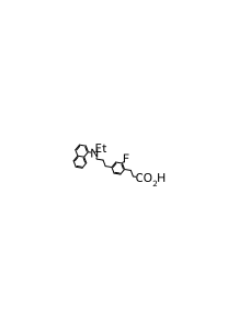 CCN(CCCc1ccc(CCC(=O)O)c(F)c1)c1cccc2ccccc12